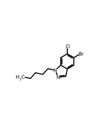 CCCCCn1ncc2cc(Br)c(Cl)cc21